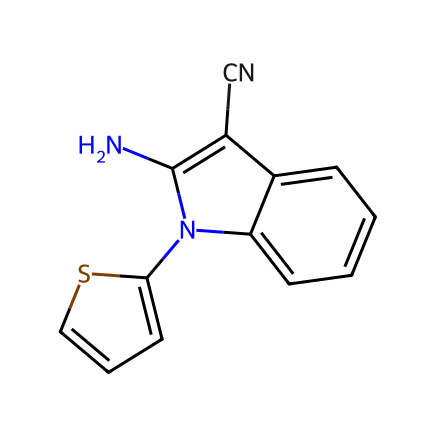 N#Cc1c(N)n(-c2cccs2)c2ccccc12